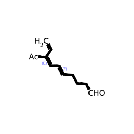 C=C/C(=C\C=C\CCCC=O)C(C)=O